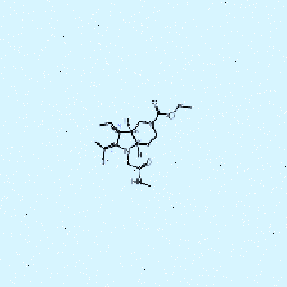 C/C=C1\C(=C(/C)Br)N(CC(=O)NC)[C@H]2CCN(C(=O)OCC)C[C@@H]12